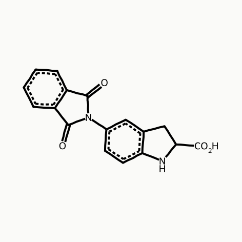 O=C(O)C1Cc2cc(N3C(=O)c4ccccc4C3=O)ccc2N1